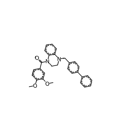 COc1ccc(C(=O)N2CCN(Cc3ccc(-c4ccccc4)cc3)c3ccccc32)cc1OC